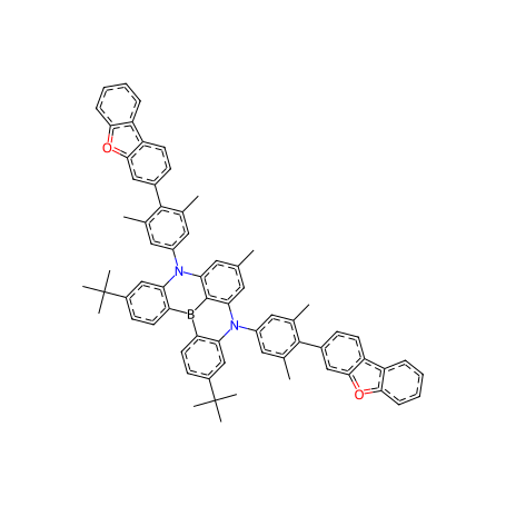 Cc1cc2c3c(c1)N(c1cc(C)c(-c4ccc5c(c4)oc4ccccc45)c(C)c1)c1cc(C(C)(C)C)ccc1B3c1ccc(C(C)(C)C)cc1N2c1cc(C)c(-c2ccc3c(c2)oc2ccccc23)c(C)c1